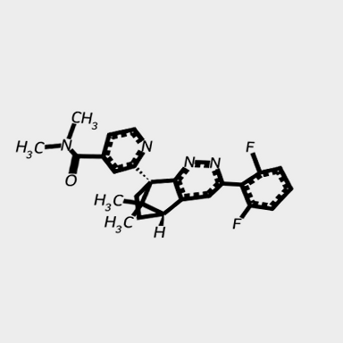 CN(C)C(=O)c1ccnc([C@]23CC[C@@H](c4cc(-c5c(F)cccc5F)nnc42)C3(C)C)c1